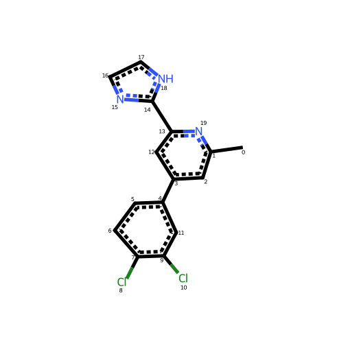 Cc1cc(-c2ccc(Cl)c(Cl)c2)cc(-c2ncc[nH]2)n1